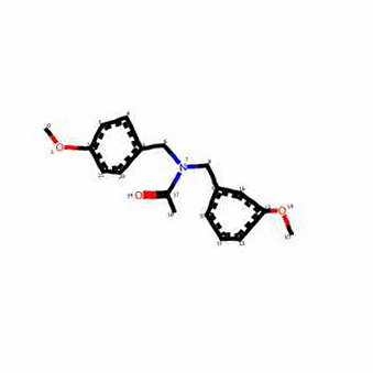 COc1ccc(CN(Cc2cccc(OC)c2)C(C)=O)cc1